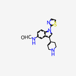 O=CNc1ccc2c(c1)c(C1=CCNCC1)cn2-c1nccs1